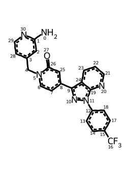 Nc1cc(Cn2ccc(-c3nn(-c4ccc(C(F)(F)F)cc4)c4ncccc34)cc2=O)ccn1